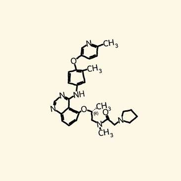 Cc1ccc(Oc2ccc(Nc3ncnc4cccc(O[C@H](C)CN(C)C(=O)CN5CCCC5)c34)cc2C)cn1